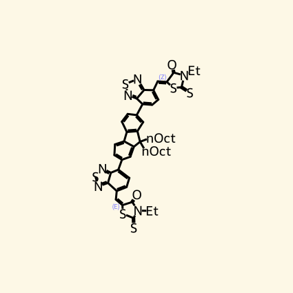 CCCCCCCCC1(CCCCCCCC)c2cc(-c3ccc(/C=C4\SC(=S)N(CC)C4=O)c4nsnc34)ccc2-c2ccc(-c3ccc(/C=C4/SC(=S)N(CC)C4=O)c4nsnc34)cc21